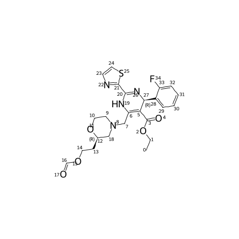 CCOC(=O)C1=C(CN2CCO[C@H](CCOC=O)C2)NC(c2nccs2)=N[C@H]1c1ccccc1F